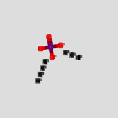 O=P([O-])([O-])[O-].[H-].[H-].[K+].[K+].[K+].[K+].[K+]